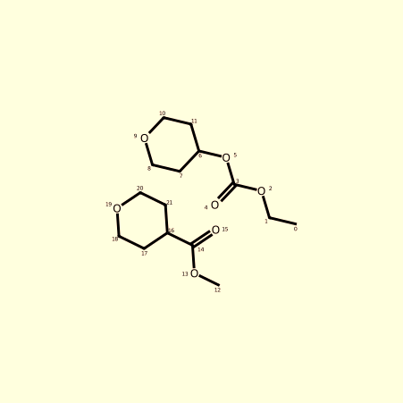 CCOC(=O)OC1CCOCC1.COC(=O)C1CCOCC1